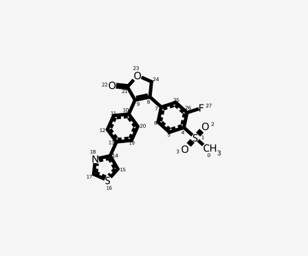 CS(=O)(=O)c1ccc(C2=C(c3ccc(-c4cscn4)cc3)C(=O)OC2)cc1F